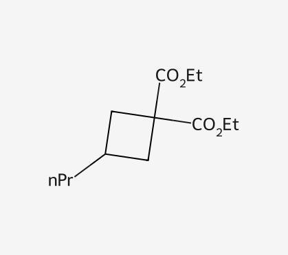 CCCC1CC(C(=O)OCC)(C(=O)OCC)C1